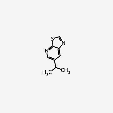 CC(C)c1cnc2scnc2c1